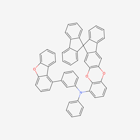 c1ccc(N(c2cccc(-c3cccc4oc5ccccc5c34)c2)c2cccc3c2Oc2cc4c(cc2O3)-c2ccccc2C42c3ccccc3-c3ccccc32)cc1